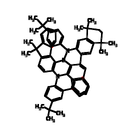 CC(C)(C)c1ccc(N2B3c4c(ccc5c4-c4ccccc4C5(C)C)N(c4ccc(C(C)(C)C)cc4-c4ccccc4)c4c3c(cc3ccccc43)-c3cc4c(cc32)C(C)(C)CCC4(C)C)cc1